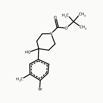 Cc1cc(C2(O)CCN(C(=O)OC(C)(C)C)CC2)ccc1Br